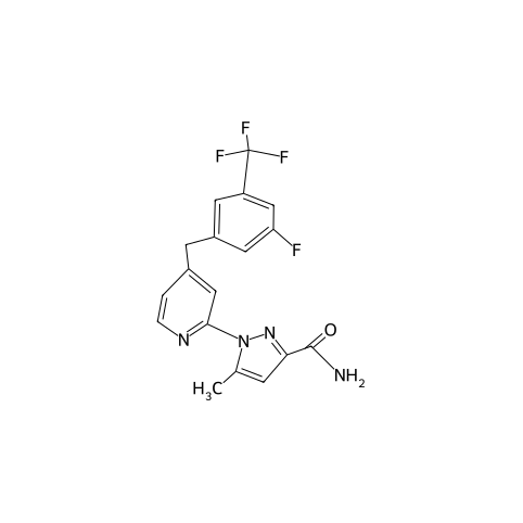 Cc1cc(C(N)=O)nn1-c1cc(Cc2cc(F)cc(C(F)(F)F)c2)ccn1